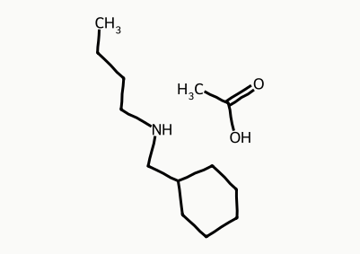 CC(=O)O.CCCCNCC1CCCCC1